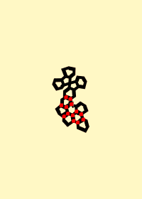 c1ccc(-c2ccccc2-c2c(-c3ccccc3)cccc2N(c2ccc3c(c2)-c2ccccc2C32c3ccccc3-c3ccccc32)c2ccccc2-c2ccccc2)cc1